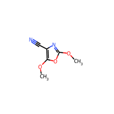 COc1nc(C#N)c(OC)o1